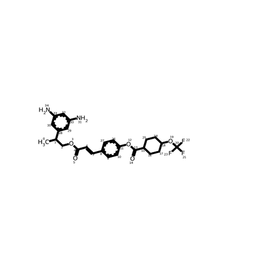 CC(COC(=O)C=Cc1ccc(OC(=O)C2CCC(OC(F)(F)F)CC2)cc1)c1cc(N)cc(N)c1